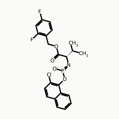 CC(C)[C@H](/N=[P+](\[O-])Oc1c(Cl)ccc2ccccc12)C(=O)OCc1ccc(F)cc1F